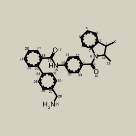 CC1c2ccccc2N(C(=O)c2ccc(NC(=O)c3ccccc3-c3ccc(CN)cc3)cc2)C1C